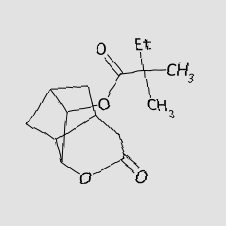 CCC(C)(C)C(=O)OC1C2CC3CC(=O)OC1C3C2